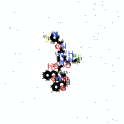 CSc1cncc(-c2cnc(C(C)(C)N3CCN(C[C@@H](O)C[C@@H](Cc4ccccc4)C(=O)N4[C@H]5c6ccccc6OC[C@H]5OC4(C)C)[C@H](C(=O)NCC(F)(F)F)C3)o2)c1